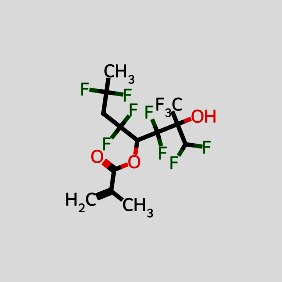 C=C(C)C(=O)OC(C(F)(F)CC(C)(F)F)C(F)(F)C(O)(C(F)F)C(F)(F)F